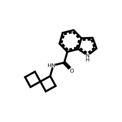 O=C(NC1CCC12CCC2)c1cccc2cc[nH]c12